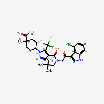 CC(C)(C)CN(CC(=O)c1c[nH]c2cccc(Cl)c12)C(=O)c1cnn(C2CCC(C)(C(=O)O)CC2)c1C(F)(F)F